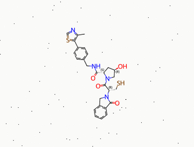 Cc1ncsc1-c1ccc(CNC(=O)[C@@H]2C[C@@H](O)CN2C(=O)[C@H](CS)N2Cc3ccccc3C2=O)cc1